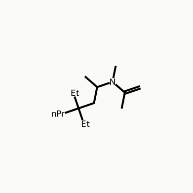 C=C(C)N(C)C(C)CC(CC)(CC)CCC